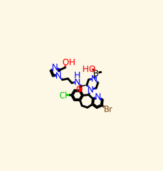 CB(O)N1CCN(C2c3ccc(Cl)cc3CCc3cc(Br)cnc32)[C@@H](C(=O)NCCCn2ccnc2CO)C1